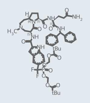 CN1CC[C@H]2CC[C@@H](C(=O)N[C@@H](CCC(N)=O)C(=O)NC(c3ccccc3)c3ccccc3)N2C(=O)[C@@H](NC(=O)c2cc3cc(C(F)(F)P(=O)(OCOC(=O)C(C)(C)C)OCOC(=O)C(C)(C)C)ccc3[nH]2)C1